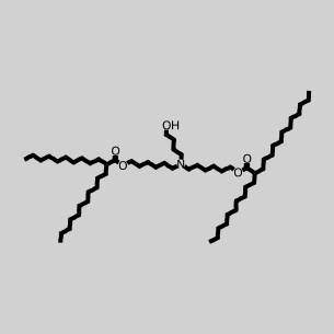 CCCCCCCCCCCCC(CCCCCCCCCC)C(=O)OCCCCCCN(CCCCO)CCCCCCOC(=O)C(CCCCCCCCCC)CCCCCCCCCCC